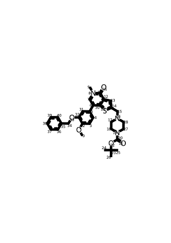 COc1ccc(-c2cn(C)c(=O)c3cc(CN4CCN(C(=O)OC(C)(C)C)CC4)sc23)cc1OCc1ccccc1